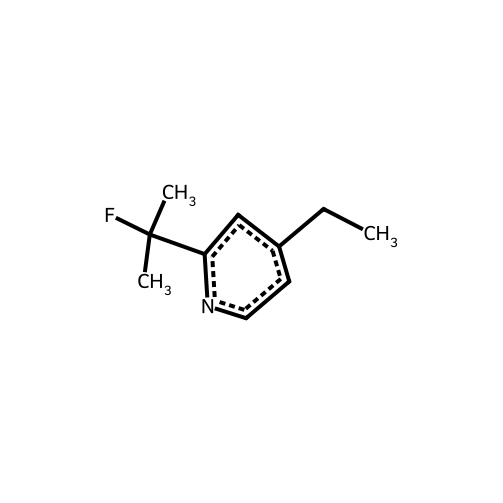 CCc1ccnc(C(C)(C)F)c1